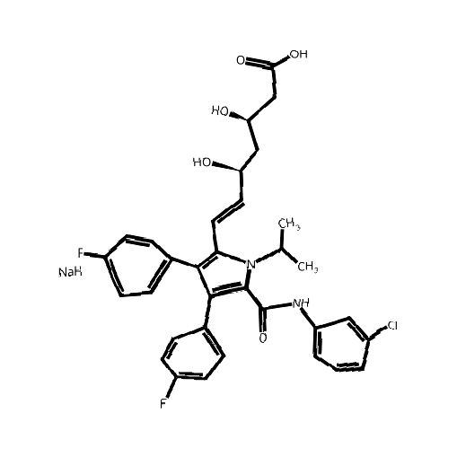 CC(C)n1c(C=C[C@@H](O)C[C@@H](O)CC(=O)O)c(-c2ccc(F)cc2)c(-c2ccc(F)cc2)c1C(=O)Nc1cccc(Cl)c1.[NaH]